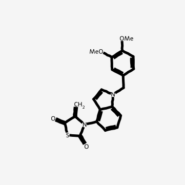 C=C1C(=O)SC(=O)N1c1cccc2c1ccn2Cc1ccc(OC)c(OC)c1